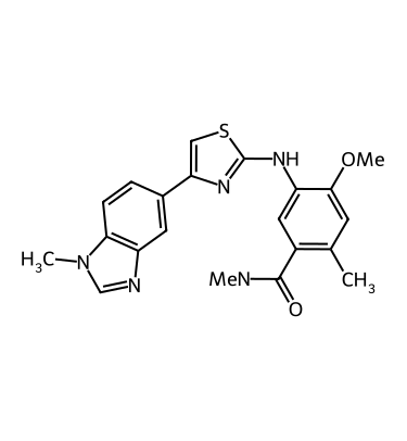 CNC(=O)c1cc(Nc2nc(-c3ccc4c(c3)ncn4C)cs2)c(OC)cc1C